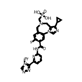 CC(C)n1cnnc1-c1cccc(NC(=O)c2cc3c(cc2F)CN(CP(=O)(O)O)Cc2c(C4CC4)ncn2-3)n1